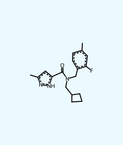 Cc1ccc(CN(CC2CCC2)C(=O)c2cc(C)n[nH]2)c(F)c1